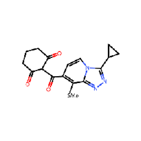 CSc1c(C(=O)C2C(=O)CCCC2=O)ccn2c(C3CC3)nnc12